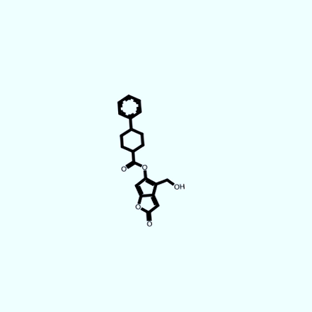 O=C1C=C2C(=CC(OC(=O)C3CCC(c4ccccc4)CC3)=C2CO)O1